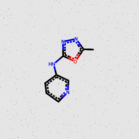 Cc1nnc(Nc2cccnc2)o1